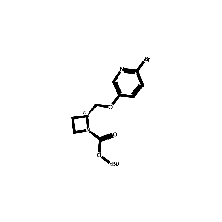 CC(C)(C)OC(=O)N1CC[C@H]1COc1ccc(Br)nc1